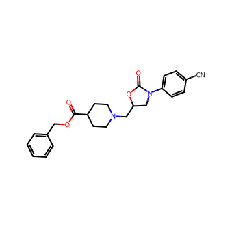 N#Cc1ccc(N2CC(CN3CCC(C(=O)OCc4ccccc4)CC3)OC2=O)cc1